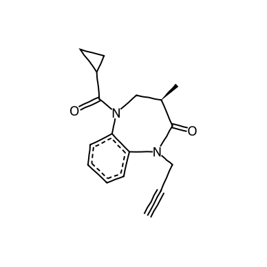 C#CCN1C(=O)[C@H](C)CN(C(=O)C2CC2)c2ccccc21